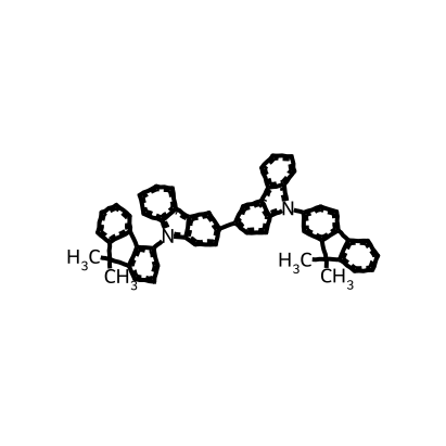 CC1(C)c2ccccc2-c2ccc(-n3c4ccccc4c4cc(-c5ccc6c(c5)c5ccccc5n6-c5cccc6c5-c5ccccc5C6(C)C)ccc43)cc21